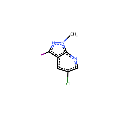 Cn1nc(I)c2cc(Cl)cnc21